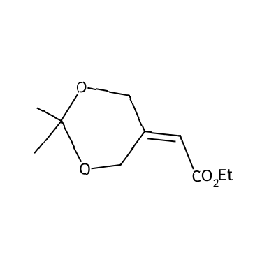 CCOC(=O)C=C1COC(C)(C)OC1